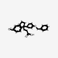 O=C(O)CCC1(c2ccc(OCc3ccccc3)cc2)CCc2cc(Cl)ccc21